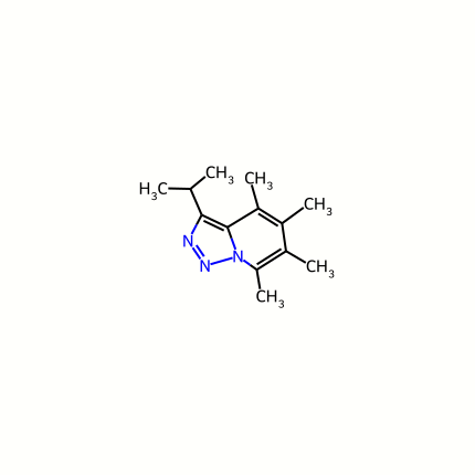 Cc1c(C)c(C)n2nnc(C(C)C)c2c1C